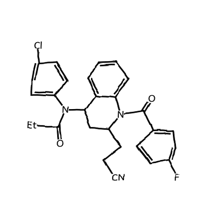 CCC(=O)N(c1ccc(Cl)cc1)C1CC(CCC#N)N(C(=O)c2ccc(F)cc2)c2ccccc21